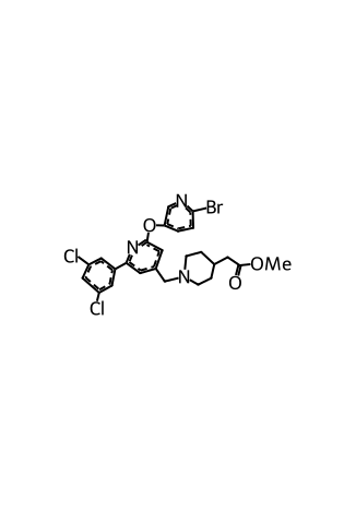 COC(=O)CC1CCN(Cc2cc(Oc3ccc(Br)nc3)nc(-c3cc(Cl)cc(Cl)c3)c2)CC1